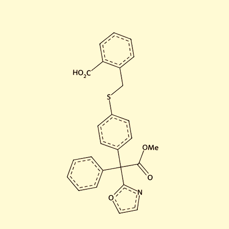 COC(=O)C(c1ccccc1)(c1ccc(SCc2ccccc2C(=O)O)cc1)c1ncco1